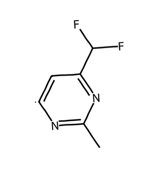 Cc1n[c]cc(C(F)F)n1